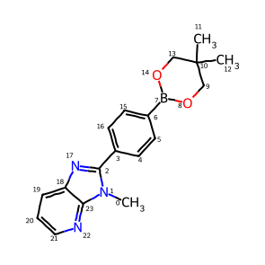 Cn1c(-c2ccc(B3OCC(C)(C)CO3)cc2)nc2cccnc21